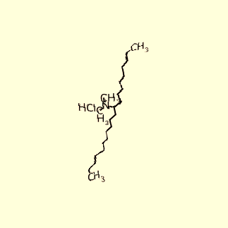 CCCCCCCCCCCC(CCCCCCCCC)N(C)C.Cl